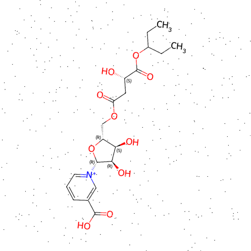 CCC(CC)OC(=O)[C@@H](O)CC(=O)OC[C@H]1O[C@@H]([n+]2cccc(C(=O)O)c2)[C@H](O)[C@@H]1O